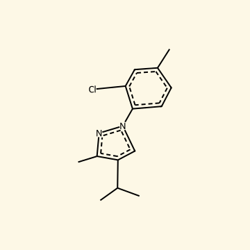 Cc1ccc(-n2cc(C(C)C)c(C)n2)c(Cl)c1